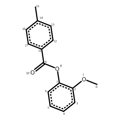 COc1ccccc1OC(=O)c1ccc(C)cc1